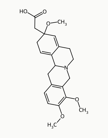 COc1ccc2c(c1OC)CN1CCC3=CC(CC(=O)O)(OC)CC=C3C1C2